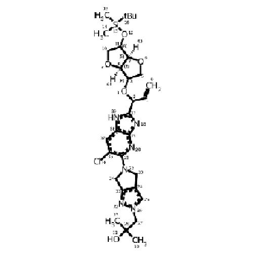 C=CC(O[C@@H]1CO[C@H]2[C@@H]1OC[C@H]2O[Si](C)(C)C(C)(C)C)c1nc2nc(N3Cc4cn(CC(C)(C)O)nc4C3)c(Cl)cc2[nH]1